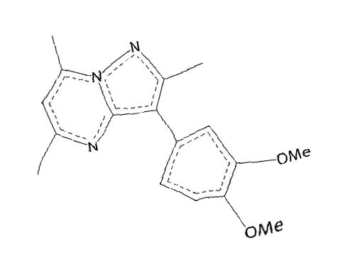 COc1ccc(-c2c(C)nn3c(C)cc(C)nc23)cc1OC